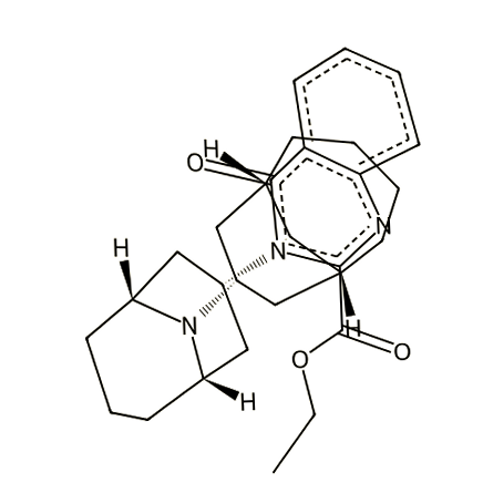 CCOC(=O)c1nc2ccccc2c(=O)n1[C@H]1C[C@H]2CCC[C@@H](C1)N2[C@@H]1C[C@@H]2CCCC[C@@H](C2)C1